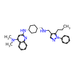 CCCc1c(CNC[C@H]2CC[C@@H](Nc3cc(N(C)C)c4ccccc4n3)CC2)cnn1-c1ccccc1